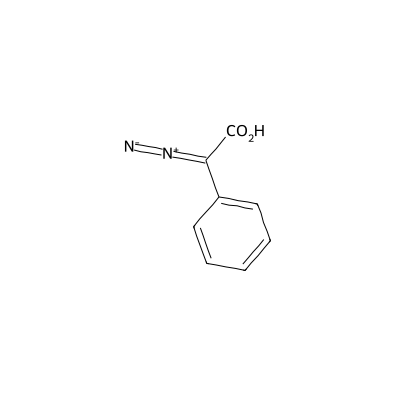 [N-]=[N+]=C(C(=O)O)c1ccccc1